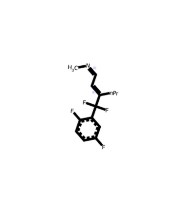 CCC/C(=C\C=N/C)C(F)(F)c1cc(F)ccc1F